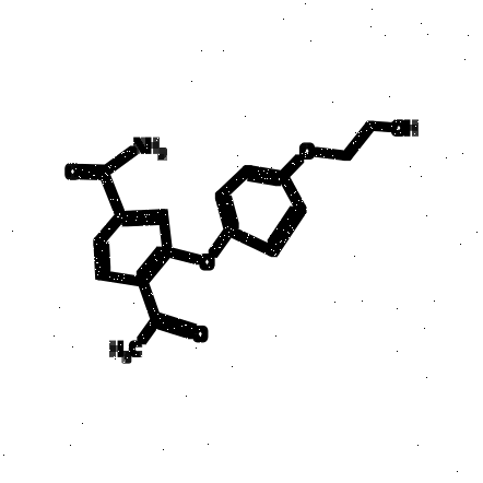 CC(=O)c1ccc(C(N)=O)cc1Oc1ccc(OCCO)cc1